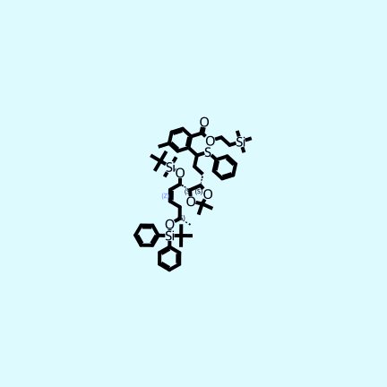 Cc1ccc(C(=O)OCC[Si](C)(C)C)c(C(CC[C@@H]2OC(C)(C)O[C@@H]2C(/C=C\C[C@H](C)O[Si](c2ccccc2)(c2ccccc2)C(C)(C)C)O[Si](C)(C)C(C)(C)C)Sc2ccccc2)c1